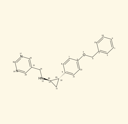 c1ccc(COc2ccc([C@@H]3C[C@H]3NCc3cncnc3)cc2)cc1